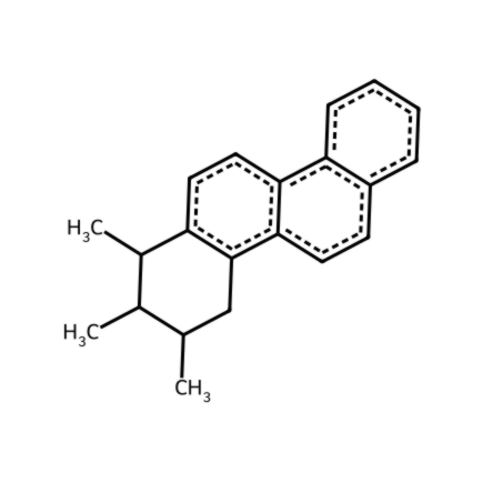 CC1Cc2c(ccc3c2ccc2ccccc23)C(C)C1C